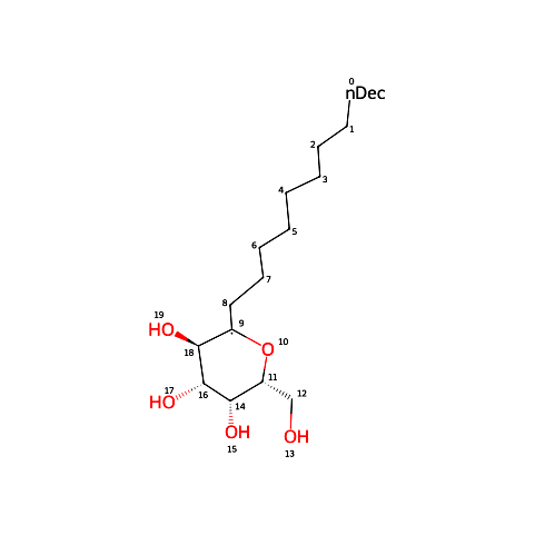 CCCCCCCCCCCCCCCCCC[C]1O[C@H](CO)[C@H](O)[C@H](O)[C@H]1O